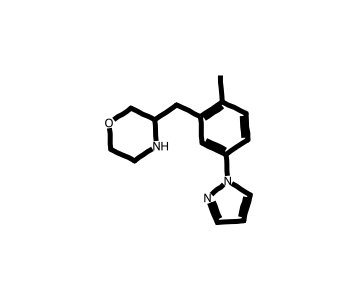 Cc1ccc(-n2cccn2)cc1CC1COCCN1